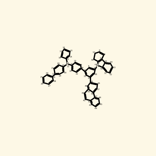 C1=Cc2c(n(-c3cc(-c4ccc(N(c5ccccc5)c5ccc(-c6ccccc6)cc5)cc4)cc(-c4ccc5c(ccc6ccccc65)c4)c3)c3ccccc23)CC1